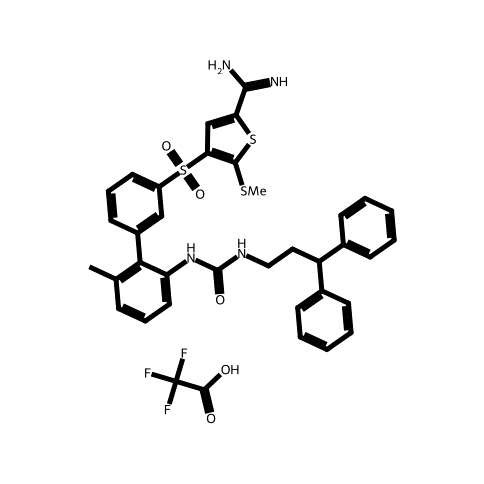 CSc1sc(C(=N)N)cc1S(=O)(=O)c1cccc(-c2c(C)cccc2NC(=O)NCCC(c2ccccc2)c2ccccc2)c1.O=C(O)C(F)(F)F